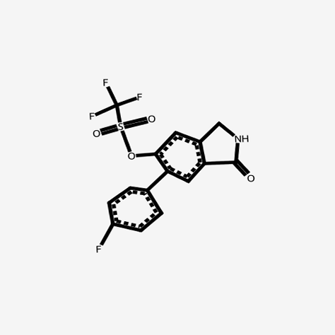 O=C1NCc2cc(OS(=O)(=O)C(F)(F)F)c(-c3ccc(F)cc3)cc21